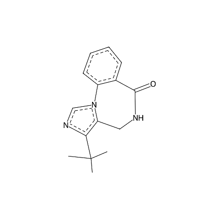 CC(C)(C)c1ncn2c1CNC(=O)c1ccccc1-2